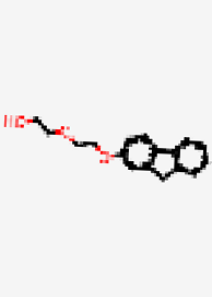 OCCOCCOc1ccc2c(c1)Cc1ccccc1-2